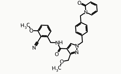 COCc1nn(Cc2ccc(Cn3ccccc3=O)cc2)cc1C(=O)NCc1cccc(OC)c1C#N